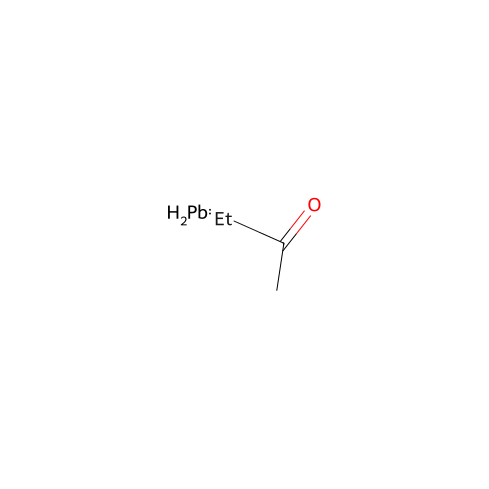 CCC(C)=O.[PbH2]